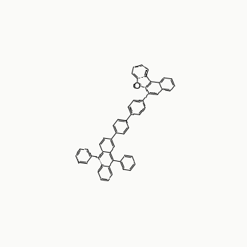 c1ccc(-c2c3ccccc3c(-c3ccccc3)c3cc(-c4ccc(-c5ccc(-c6cc7ccccc7c7c6oc6ccccc67)cc5)cc4)ccc23)cc1